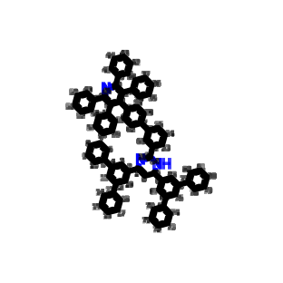 C1=C(c2cc(-c3ccccc3)cc(-c3ccccc3)c2)N=C(c2cccc(-c3ccc(-c4c(-c5ccccc5)c(-c5ccccc5)nc(-c5ccccc5)c4-c4ccccc4)cc3)c2)NC1c1cc(-c2ccccc2)cc(-c2ccccc2)c1